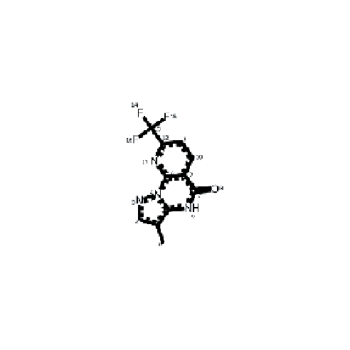 Cc1cnn2c1[nH]c(=O)c1ccc(C(F)(F)F)nc12